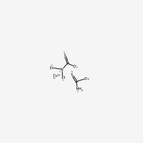 CCN(CC)C([O-])=S.NC([O-])=S.[Cu+2]